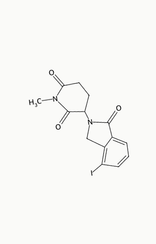 CN1C(=O)CCC(N2Cc3c(I)cccc3C2=O)C1=O